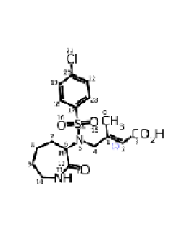 C/C(=C\C(=O)O)CN([C@@H]1CCCCNC1=O)S(=O)(=O)c1ccc(Cl)cc1